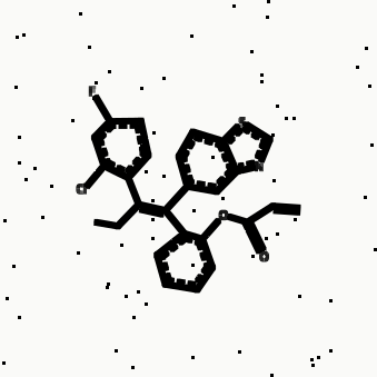 C=CC(=O)Oc1ccccc1/C(=C(\CC)c1ccc(F)cc1Cl)c1ccc2scnc2c1